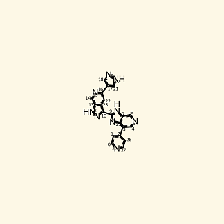 c1cc(-c2cncc3[nH]c(-c4n[nH]c5cnc(-c6cn[nH]c6)cc45)nc23)ccn1